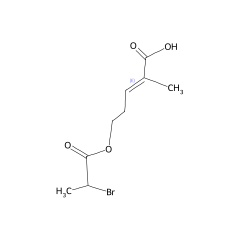 C/C(=C\CCOC(=O)C(C)Br)C(=O)O